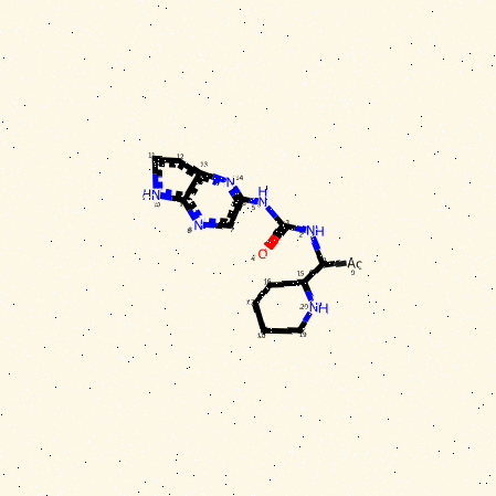 CC(=O)C(NC(=O)Nc1cnc2[nH]ccc2n1)C1CCCCN1